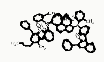 C=C/C=C\c1cc(-c2ccccc2)c2oc3c(N(c4c(C)cccc4C)c4ccc5ccc6c(N(c7c(C)cccc7C)c7cccc8c7oc7c(-c9ccccc9)cc9ccccc9c78)ccc7ccc4c5c76)cccc3c2c1C